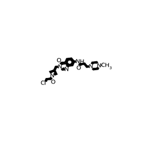 CN1CCN(CCC(=O)Nc2ccc3c(=O)n(CC4CN(C(=O)CCl)C4)cnc3c2)CC1